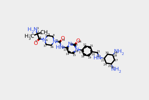 CC(C)(N)C(=O)N1CCN(C(=O)Nc2ccn(-c3ccc(CN[C@@H]4C[C@H](N)C[C@H](N)C4)cc3)c(=O)n2)CC1